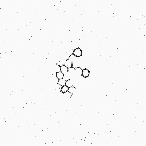 COc1ccc(CN2CCN(C(=O)[C@H](CSCc3ccccc3)NC(=O)OCc3ccccc3)CC2)c(OC)c1OC